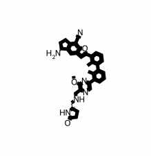 COc1nc(-c2cccc(-c3cccc(-c4cc5cc6c(c(C#N)c5o4)CC[C@H]6N)c3C)c2C)cnc1CNC[C@@H]1CCC(=O)N1